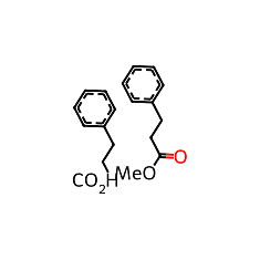 COC(=O)CCc1ccccc1.O=C(O)CCc1ccccc1